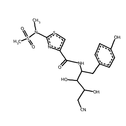 CN(c1nc(C(=O)NC(Cc2ccc(O)cc2)C(O)C(O)CC#N)cs1)S(C)(=O)=O